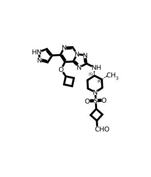 C[C@@H]1CN(S(=O)(=O)C2CC(C=O)C2)CC[C@@H]1Nc1nc2c(OC3CCC3)c(-c3cn[nH]c3)ncn2n1